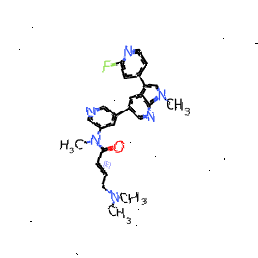 CN(C)C/C=C/C(=O)N(C)c1cncc(-c2cnc3c(c2)c(-c2ccnc(F)c2)cn3C)c1